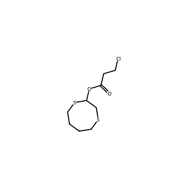 O=C(CCCl)OC1CSCCCCS1